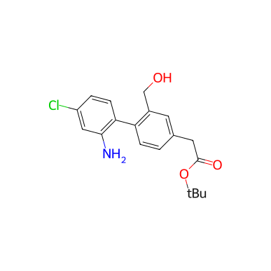 CC(C)(C)OC(=O)Cc1ccc(-c2ccc(Cl)cc2N)c(CO)c1